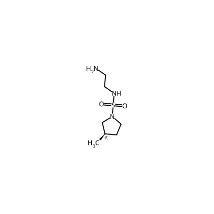 C[C@@H]1CCN(S(=O)(=O)NCCN)C1